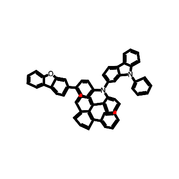 c1ccc(-c2cccc3cccc(-c4ccccc4N(c4ccc(-c5ccc6c(c5)oc5ccccc56)cc4)c4ccc5c6ccccc6n(-c6ccccc6)c5c4)c23)cc1